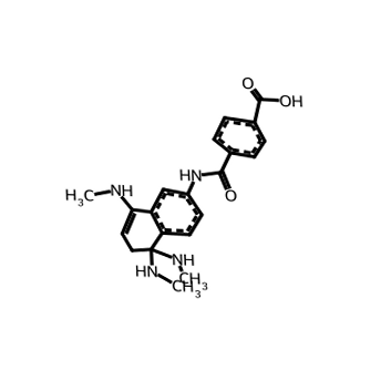 CNC1=CCC(NC)(NC)c2ccc(NC(=O)c3ccc(C(=O)O)cc3)cc21